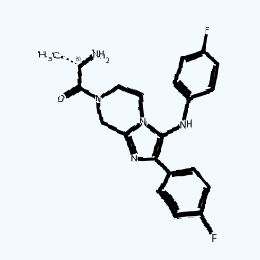 C[C@H](N)C(=O)N1CCn2c(nc(-c3ccc(F)cc3)c2Nc2ccc(F)cc2)C1